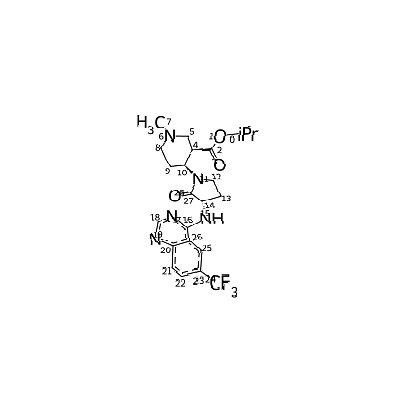 CC(C)OC(=O)[C@@H]1CN(C)CC[C@@H]1N1CC[C@H](Nc2ncnc3ccc(C(F)(F)F)cc23)C1=O